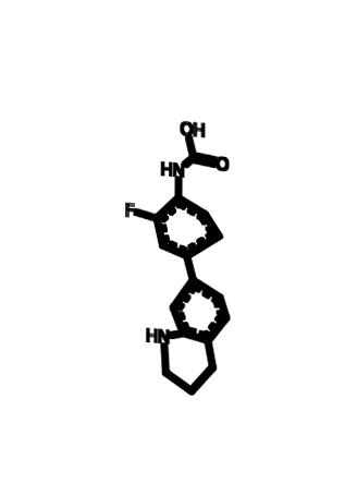 O=C(O)Nc1ccc(-c2ccc3c(c2)NCCC3)cc1F